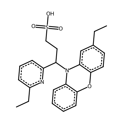 CCc1ccc2c(c1)N(C(CCS(=O)(=O)O)c1cccc(CC)n1)c1ccccc1O2